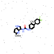 COc1ccc2[nH]cc(NC(=O)Nc3ccc(C4CCC(F)(F)CC4)c(C#N)c3)c2n1